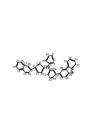 c1ccc(N(c2ccc(-c3ccc4ccccc4c3)cc2)c2cccc(-c3ccc4sc5ccccc5c4c3)c2)cc1